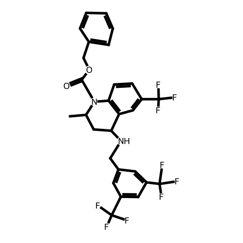 CC1CC(NCc2cc(C(F)(F)F)cc(C(F)(F)F)c2)c2cc(C(F)(F)F)ccc2N1C(=O)OCc1ccccc1